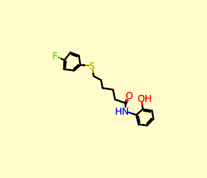 O=C(CCCCCSc1ccc(F)cc1)Nc1ccccc1O